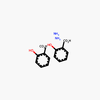 N.N.O=C(O)c1ccccc1O.O=C(O)c1ccccc1O